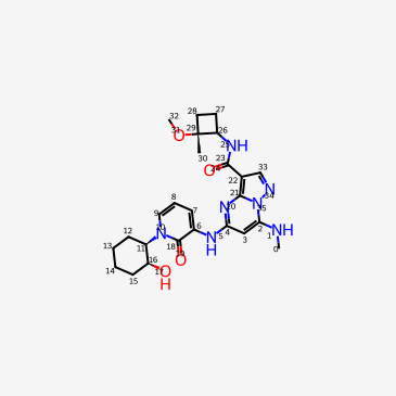 CNc1cc(Nc2cccn([C@@H]3CCCC[C@@H]3O)c2=O)nc2c(C(=O)NC3CC[C@@]3(C)OC)cnn12